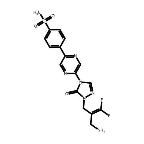 CS(=O)(=O)c1ccc(-c2cnc(-n3cnn(CC(CN)=C(F)F)c3=O)cn2)cc1